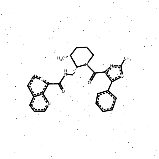 Cc1nc(C(=O)N2CCC[C@@H](C)[C@H]2CNC(=O)c2cccc3cccnc23)c(-c2ccccc2)s1